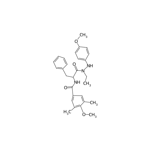 CCN(Nc1ccc(OC)cc1)C(=O)C(Cc1ccccc1)NC(=O)c1cc(C)c(OC)c(C)c1